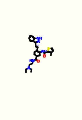 CCN(CC)CCNC(=O)c1ccc(/C=C/c2n[nH]c3ccccc23)c(NC(=O)c2sccc2C)c1